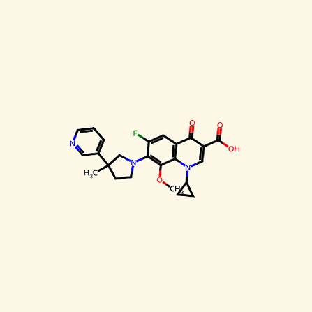 COc1c(N2CCC(C)(c3cccnc3)C2)c(F)cc2c(=O)c(C(=O)O)cn(C3CC3)c12